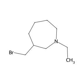 CCN1CCCCC(CBr)C1